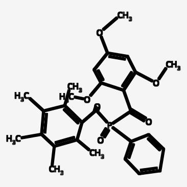 COc1cc(OC)c(C(=O)P(=O)(C(=O)c2c(C)c(C)c(C)c(C)c2C)c2ccccc2)c(OC)c1